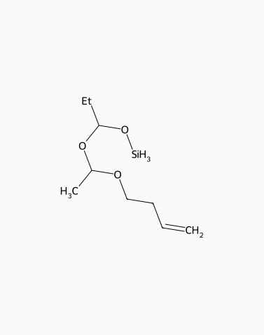 C=CCCOC(C)OC(CC)O[SiH3]